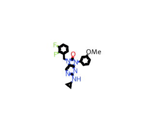 COc1cccc(-n2c(=O)n(Cc3cccc(F)c3F)c3cnc(NC4CC4)nc32)c1